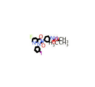 CC(C)(C)OC(=O)NC1CCC(n2c(=O)c3cc(F)cnc3n(-c3cccc(I)c3)c2=O)CC1